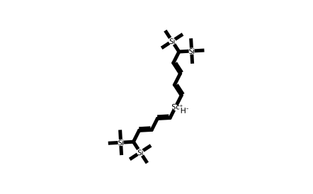 C[Si](C)(C)C(C=CC=[CH][Sc+][CH]=CC=CC([Si](C)(C)C)[Si](C)(C)C)[Si](C)(C)C.[H-]